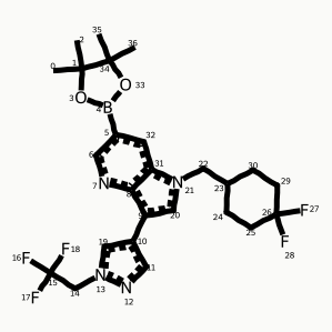 CC1(C)OB(c2cnc3c(-c4cnn(CC(F)(F)F)c4)cn(CC4CCC(F)(F)CC4)c3c2)OC1(C)C